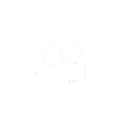 Brc1ccc2c(c1)C1(CCC2)CCNC1